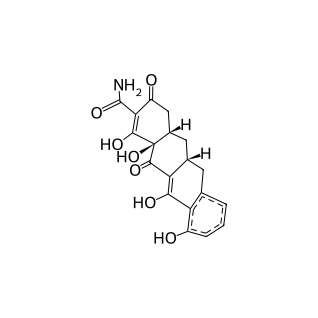 NC(=O)C1=C(O)[C@@]2(O)C(=O)C3=C(O)c4c(O)cccc4C[C@H]3C[C@H]2CC1=O